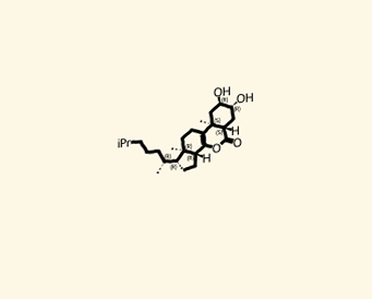 CC(C)CCC[C@@H](C)[C@H]1CC[C@H]2C3=C(CC[C@]12C)[C@@]1(C)C[C@@H](O)[C@H](O)C[C@@H]1C(=O)O3